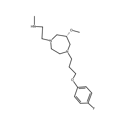 CNCCN1CCN(CCCOc2ccc(F)cc2)C[C@@H](OC)C1